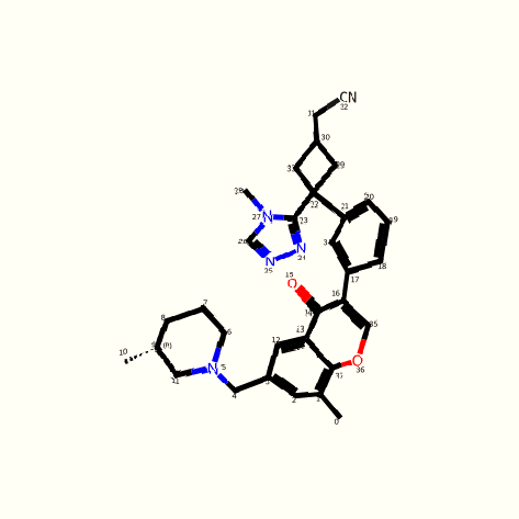 Cc1cc(CN2CCC[C@@H](C)C2)cc2c(=O)c(-c3cccc(C4(c5nncn5C)CC(CC#N)C4)c3)coc12